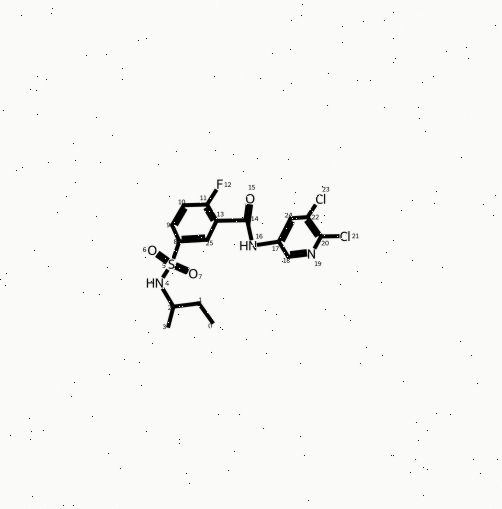 CCC(C)NS(=O)(=O)c1ccc(F)c(C(=O)Nc2cnc(Cl)c(Cl)c2)c1